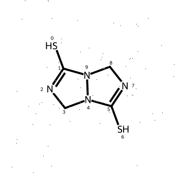 SC1=NCN2C(S)=NCN12